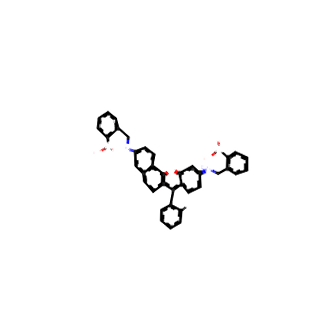 O=C(O)c1ccccc1-c1c2cc/c(=N\Cc3ccccc3B(O)O)cc-2oc2c1ccc1cc(NCc3ccccc3B(O)O)ccc12